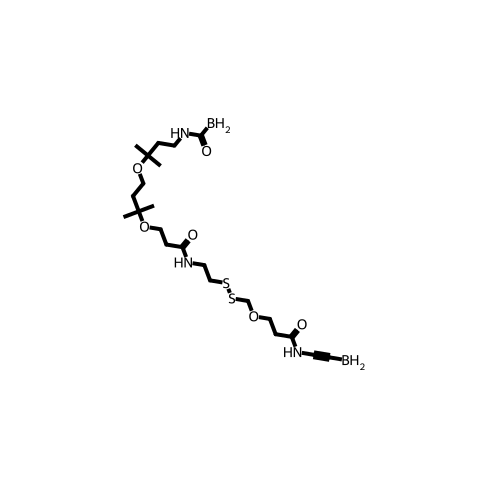 BC#CNC(=O)CCOCSSCCNC(=O)CCOC(C)(C)CCOC(C)(C)CCNC(B)=O